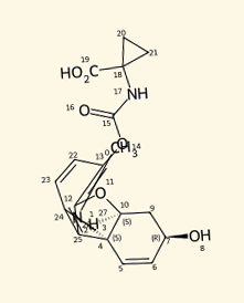 CN1CC[C@@]23C=C[C@H](O)C[C@@H]2Oc2c(OC(=O)NC4(C(=O)O)CC4)ccc(c23)C1